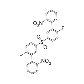 O=[N+]([O-])c1ccccc1-c1cc(S(=O)(=O)c2ccc(F)c(-c3ccccc3[N+](=O)[O-])c2)ccc1F